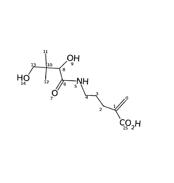 C=C(CCCNC(=O)C(O)C(C)(C)CO)C(=O)O